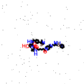 Cc1ncsc1-c1ccc([C@H](C)NC(=O)[C@@H]2C[C@@H](O)CN2C(=O)C(NC(=O)CCCCC(=O)N2CCC3(CC2)CN(CCC(N)CSc2ccccc2)C3)C(C)(C)C)cc1